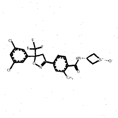 Cc1cc(C2=NOC(c3cc(Cl)cc(Cl)c3)(C(F)(F)F)C2)ccc1C(=O)N[C@H]1C[S@@+]([O-])C1